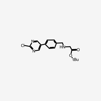 CC(C)(C)OC(=O)CNCc1ccc(-c2cnc(Cl)nc2)cc1